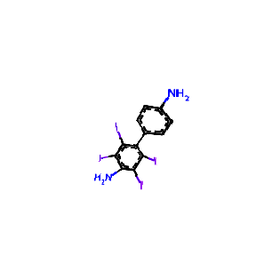 Nc1ccc(-c2c(I)c(I)c(N)c(I)c2I)cc1